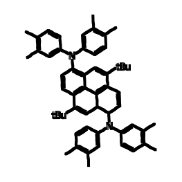 Cc1ccc(N(c2ccc(C)c(C)c2)c2ccc3c4c5c(c(C(C)(C)C)cc24)C=CC(N(c2ccc(C)c(C)c2)c2ccc(C)c(C)c2)C5C=C3C(C)(C)C)cc1C